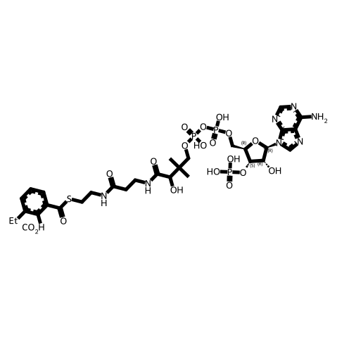 CCc1cccc(C(=O)SCCNC(=O)CCNC(=O)C(O)C(C)(C)COP(=O)(O)OP(=O)(O)OC[C@H]2O[C@@H](n3cnc4c(N)ncnc43)[C@H](O)[C@@H]2OP(=O)(O)O)c1C(=O)O